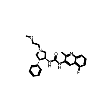 COCCN1C[C@@H](NC(=O)Nc2cc3c(F)cccc3nc2C)[C@H](c2ccccc2)C1